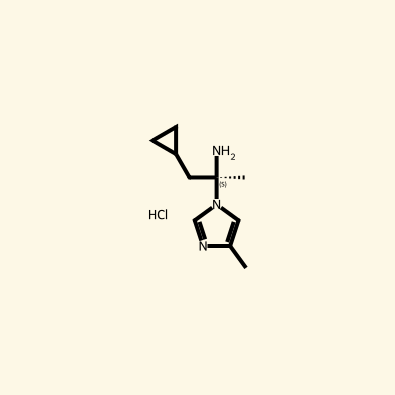 Cc1cn([C@](C)(N)CC2CC2)cn1.Cl